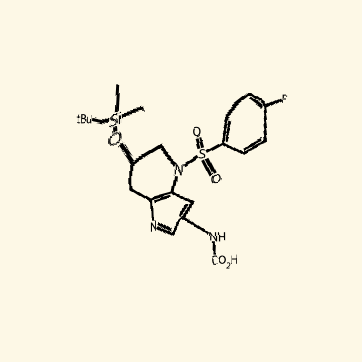 CC(C)(C)[Si](C)(C)OC1Cc2ncc(NC(=O)O)cc2N(S(=O)(=O)c2ccc(F)cc2)C1